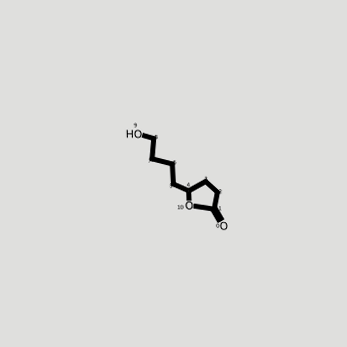 O=C1CCC(CCCCO)O1